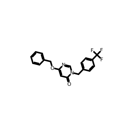 O=c1cc(OCc2ccccc2)ncn1Cc1ccc(C(F)(F)F)cc1